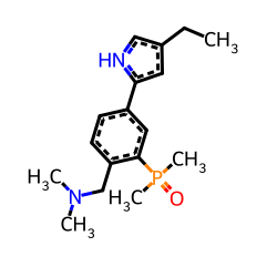 CCc1c[nH]c(-c2ccc(CN(C)C)c(P(C)(C)=O)c2)c1